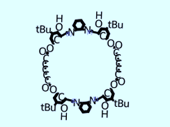 CC(C)(C)c1cc2cc(c1O)/C=N/c1ccccc1/N=C/c1cc(cc(C(C)(C)C)c1O)OC(=O)CCCCCC(=O)Oc1cc(c(O)c(C(C)(C)C)c1)/C=N/c1ccccc1/N=C/c1cc(cc(C(C)(C)C)c1O)OC(=O)CCCCCC(=O)O2